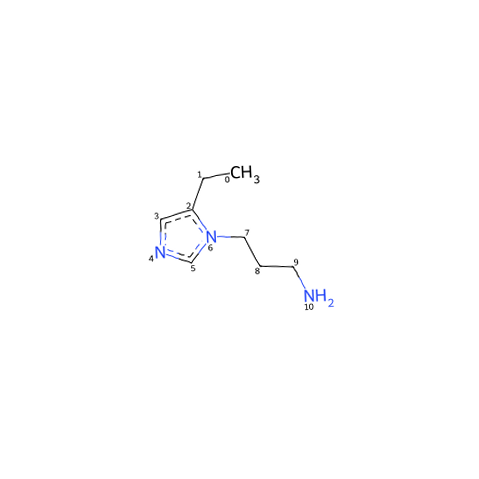 CCc1cncn1CCCN